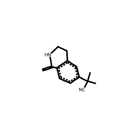 C=C1NCCc2cc(C(C)(C)C#N)ccc21